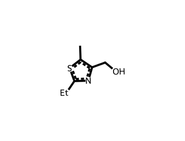 CCc1nc(CO)c(C)s1